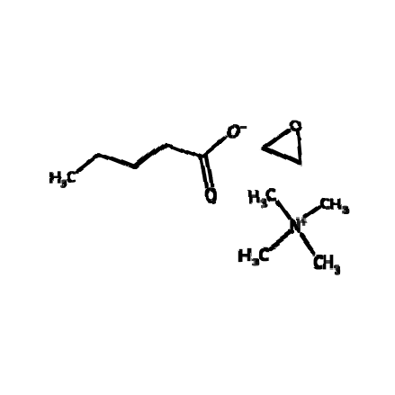 C1CO1.CCCCC(=O)[O-].C[N+](C)(C)C